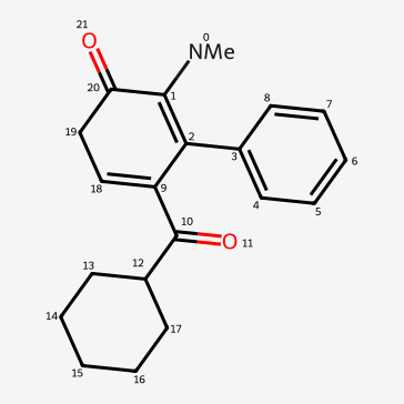 CNC1=C(c2ccccc2)C(C(=O)C2CCCCC2)=CCC1=O